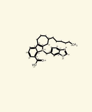 CCCCCCC1CCCc2c(n(Cc3ccc4ncoc4c3)c3c(C(=O)O)cccc23)C1